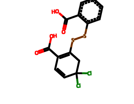 O=C(O)C1=C(SSc2ccccc2C(=O)O)CC(Cl)(Cl)C=C1